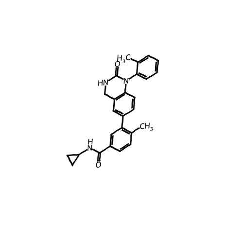 Cc1ccc(C(=O)NC2CC2)cc1-c1ccc2c(c1)CNC(=O)N2c1ccccc1C